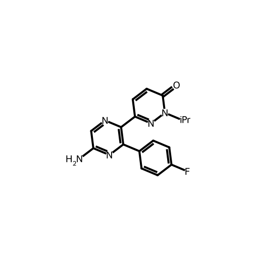 CC(C)n1nc(-c2ncc(N)nc2-c2ccc(F)cc2)ccc1=O